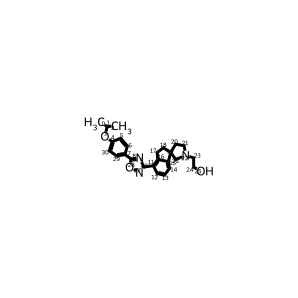 CC(C)Oc1ccc(-c2nc(-c3cccc4c3CCC43CCN(CCO)C3)no2)cc1